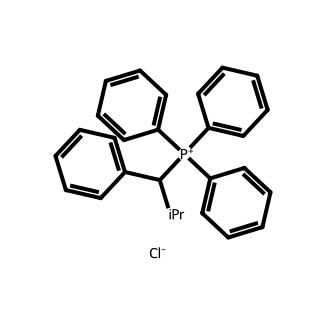 CC(C)C(c1ccccc1)[P+](c1ccccc1)(c1ccccc1)c1ccccc1.[Cl-]